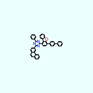 c1ccc(-c2ccc(-c3ccc(-c4nc(-c5ccccc5)nc(-c5ccc6ccc7ccccc7c6c5)n4)c4c3oc3ccccc34)cc2)cc1